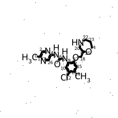 Cc1cnc(NC(=O)Nc2cc(Cl)c(C)cc2OCC2CNCCCO2)cn1